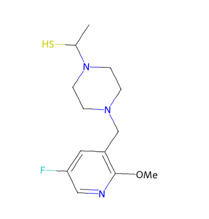 COc1ncc(F)cc1CN1CCN(C(C)S)CC1